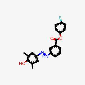 Cc1cc(/N=N/c2cccc(C(=O)Oc3ccc(F)cc3)c2)cc(C)c1O